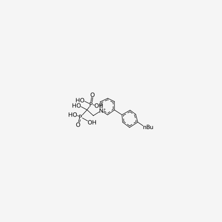 CCCCc1ccc(-c2ccc[n+](CC(O)(P(=O)(O)O)P(=O)(O)O)c2)cc1